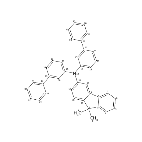 CC1(C)c2ccccc2-c2cc(N(c3cccc(-c4ccccc4)c3)c3cccc(-c4ccccc4)c3)ccc21